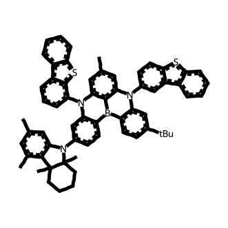 Cc1cc2c3c(c1)N(c1cccc4c1sc1ccccc14)c1cc(N4c5cc(C)cc(C)c5C5(C)CCCCC45C)ccc1B3c1ccc(C(C)(C)C)cc1N2c1ccc2sc3ccccc3c2c1